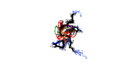 Cc1ccc(S(=O)(=O)C(Cl)(C(=O)[C@@H](N)CCCCN)C(=O)C(Cl)(C(=O)[C@@H](N)CCCCN)S(=O)(=O)c2ccc(C)cc2)cc1